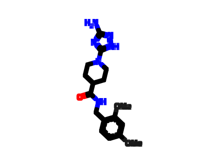 COc1ccc(CNC(=O)C2CCN(c3nc(N)n[nH]3)CC2)c(OC)c1